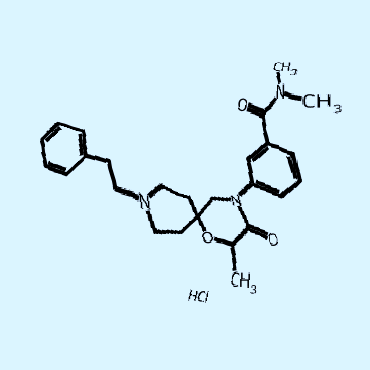 CC1OC2(CCN(CCc3ccccc3)CC2)CN(c2cccc(C(=O)N(C)C)c2)C1=O.Cl